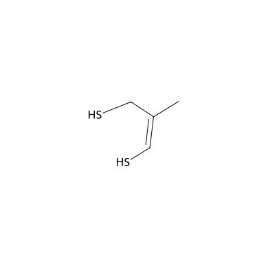 CC(=CS)CS